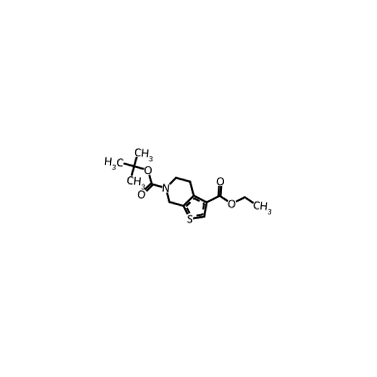 CCOC(=O)c1csc2c1CCN(C(=O)OC(C)(C)C)C2